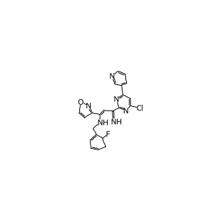 N=C(/C=C(\NCC1=CC=CCC1F)c1ccon1)c1nc(Cl)cc(-c2cccnc2)n1